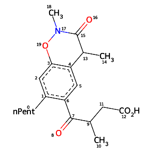 CCCCCc1cc2c(cc1C(=O)C(C)CC(=O)O)C(C)C(=O)N(C)O2